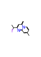 C=C1C=C(C(C)I)N=C2C=C(C)C=CN12